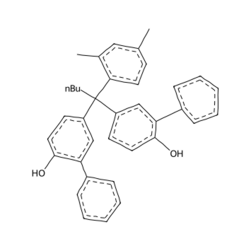 CCCCC(c1ccc(O)c(-c2ccccc2)c1)(c1ccc(O)c(-c2ccccc2)c1)c1ccc(C)cc1C